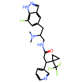 CN(C)C(CNC(=O)CC(c1cccnc1)C1(C(F)(F)F)CC1)Cc1cc(F)c2[nH]ncc2c1